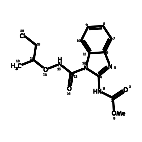 COC(=O)Nc1nc2ccccc2n1C(=O)NOC(C)CCl